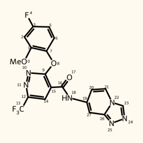 COc1cc(F)ccc1Oc1nnc(C(F)(F)F)cc1C(=O)Nc1ccn2cnnc2c1